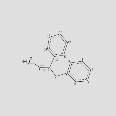 [CH2]/C=C(/Cc1ccccc1)c1ccccc1